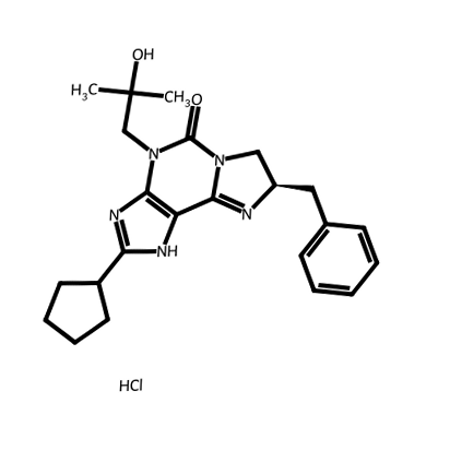 CC(C)(O)CN1C(=O)N2C[C@@H](Cc3ccccc3)N=C2c2[nH]c(C3CCCC3)nc21.Cl